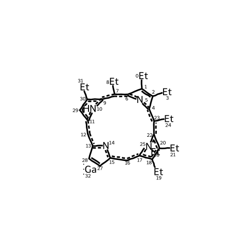 CCC1=C(CC)c2nc1c(CC)c1[nH]c(cc3nc(cc4c(CC)c(CC)c(c2CC)n4CC)C=C3)cc1CC.[Ga]